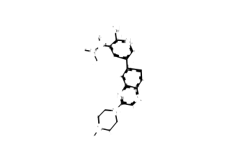 CN1CCN(c2cnc3ccc(-c4cnc(N)c([S+]([O-])N(C)C)c4)cc3n2)CC1